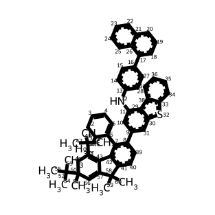 CC1CC=CC=C1c1c(-c2cc(Nc3ccc(-c4cccc5ccccc45)cc3)c3c(c2)sc2ccccc23)ccc2c1C1=C(C(C)(C)C)CC(C)(C(C)(C)C)C=C1C2(C)C